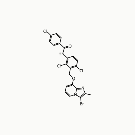 Cc1nc2c(OCc3c(Cl)ccc(NC(=O)c4ccc(Cl)cc4)c3Cl)cccn2c1Br